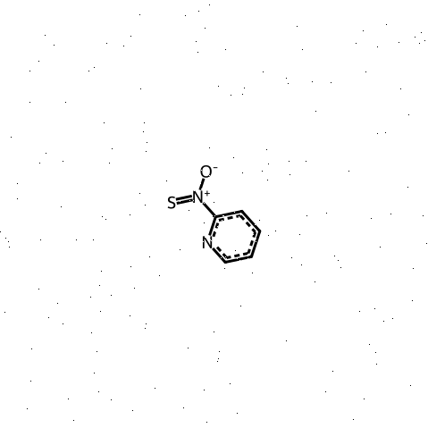 [O-][N+](=S)c1ccccn1